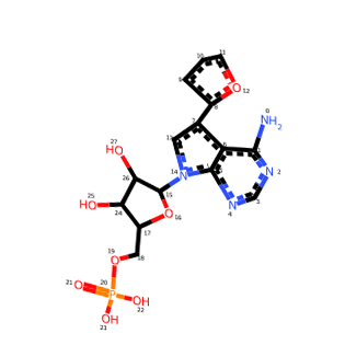 Nc1ncnc2c1c(-c1ccco1)cn2C1OC(COP(=O)(O)O)C(O)C1O